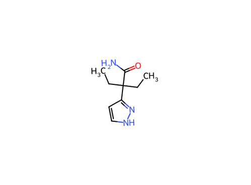 CCC(CC)(C(N)=O)c1cc[nH]n1